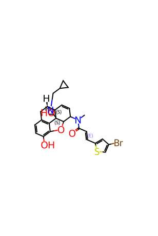 CN(C(=O)/C=C/c1cc(Br)cs1)C1C=C[C@@]2(O)[C@H]3Cc4ccc(O)c5c4[C@@]2(CCN3CC2CC2)C1O5